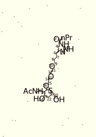 CCCC(=O)NC/C(=C/CCCOCCOCCO[C@@H]1S[C@H](CO)C[C@H](O)[C@H]1NC(C)=O)N=N